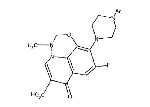 CC(=O)N1CCN(c2c(F)cc3c(=O)c(C(=O)O)cn4c3c2OCN4C)CC1